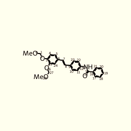 COCOc1ccc(C=Cc2ccc(NC(=O)c3ccccc3)cc2)cc1OCOC